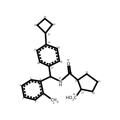 Cc1ccccc1C(NC(=O)C1CCCC1C(=O)O)c1ccc(C2CCC2)cc1